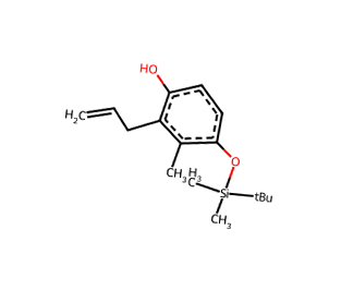 C=CCc1c(O)ccc(O[Si](C)(C)C(C)(C)C)c1C